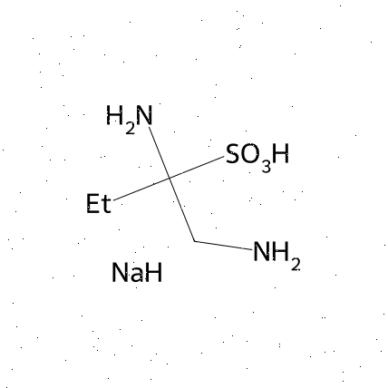 CCC(N)(CN)S(=O)(=O)O.[NaH]